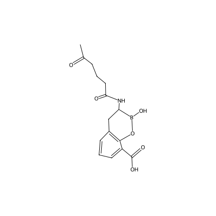 CC(=O)CCCC(=O)NC1Cc2cccc(C(=O)O)c2OB1O